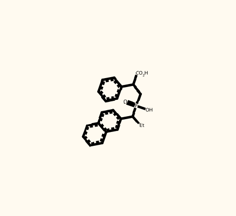 CCC(c1ccc2ccccc2c1)P(=O)(O)CC(C(=O)O)c1ccccc1